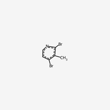 Cc1c(Br)ccnc1Br